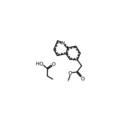 CCC(=O)O.O=C(Cc1ccc2ncccc2c1)OF